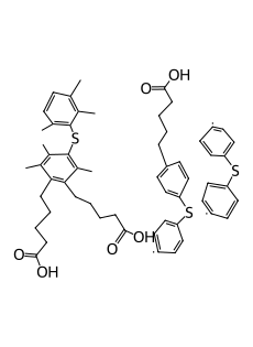 Cc1ccc(C)c(Sc2c(C)c(C)c(CCCCC(=O)O)c(CCCCC(=O)O)c2C)c1C.O=C(O)CCCCc1ccc(Sc2cc[c]cc2)cc1.[c]1ccc(Sc2cc[c]cc2)cc1